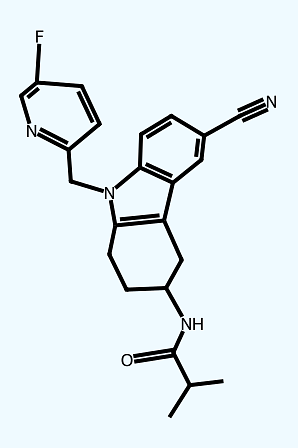 CC(C)C(=O)NC1CCc2c(c3cc(C#N)ccc3n2Cc2ccc(F)cn2)C1